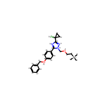 C[Si](C)(C)CCOCn1nc(C2(F)CC2)nc1-c1ccc(OCc2ccccc2)cc1